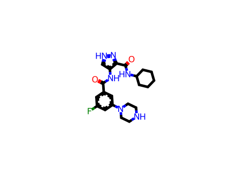 O=C(Nc1c[nH]nc1C(=O)NC1CCCCC1)c1cc(F)cc(N2CCNCC2)c1